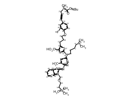 Cc1cc(N(CCCCN(C)C)c2nc(C(=O)O)c(CCCOc3ccc(C#CCN(C)C(=O)OC(C)(C)C)cc3F)s2)nnc1/N=c1\sc2ccccc2n1COCC[Si](C)(C)C